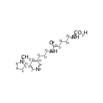 CN1CCC[C@H]1c1cncc(CCCNC(=O)CCCCNC(=O)O)c1